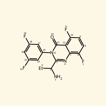 CCC(N)c1nc2c(F)ccc(F)c2c(=O)n1-c1cc(F)cc(F)c1